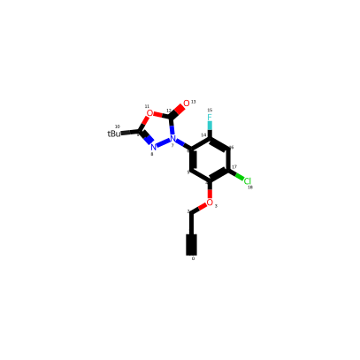 C#CCOc1cc(-n2nc(C(C)(C)C)oc2=O)c(F)cc1Cl